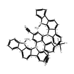 Cn1c2ccccc2c2ccc3c4ccccc4n(-c4cc(C#N)cc(-n5c6ccccc6c6ccc7c8ccccc8n(C)c7c65)c4-c4cc(C#N)cc(C(F)(F)F)c4)c3c21